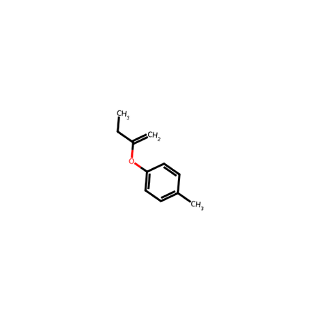 C=C(CC)Oc1ccc(C)cc1